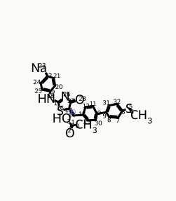 CC(=O)O.CSc1ccc(-c2ccc(/C=C3/SC(Nc4cc[c]([Na])cc4)=NC3=O)cc2)cc1